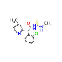 CNC(=S)NC(=O)C(c1cc(C)ccn1)c1ccccc1Cl